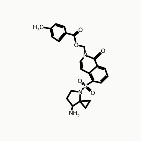 Cc1ccc(C(=O)OCn2ccc3c(S(=O)(=O)N4CCC(N)C45CC5)cccc3c2=O)cc1